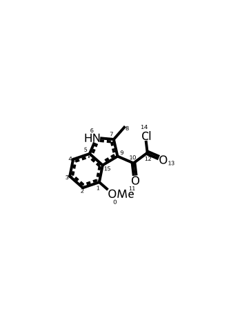 COc1cccc2[nH]c(C)c(C(=O)C(=O)Cl)c12